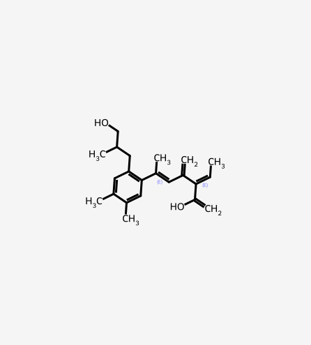 C=C(O)/C(=C/C)C(=C)/C=C(\C)c1cc(C)c(C)cc1CC(C)CO